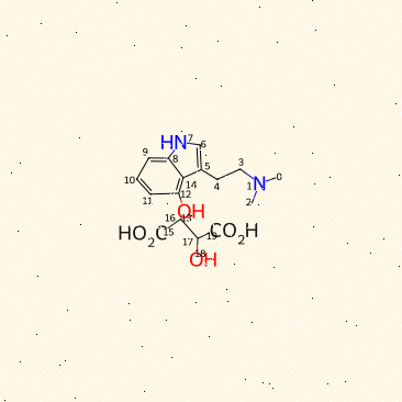 CN(C)CCc1c[nH]c2cccc(O)c12.O=C(O)CC(O)C(=O)O